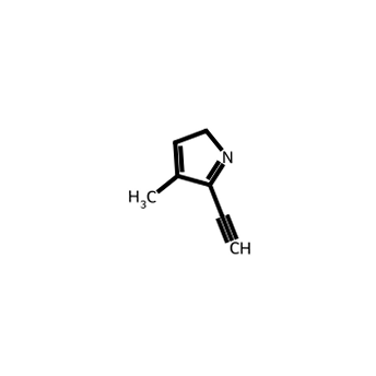 C#CC1=NCC=C1C